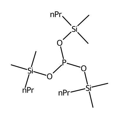 CCC[Si](C)(C)OP(O[Si](C)(C)CCC)O[Si](C)(C)CCC